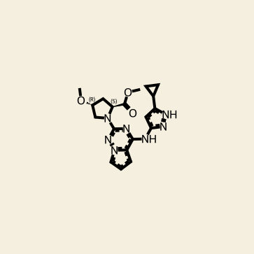 COC(=O)[C@@H]1C[C@@H](OC)CN1c1nc(Nc2cc(C3CC3)[nH]n2)c2cccn2n1